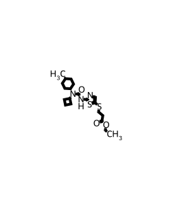 CCOC(=O)CCSc1cnc(NC(=O)N(C2CCC2)[C@H]2CC[C@H](C)CC2)s1